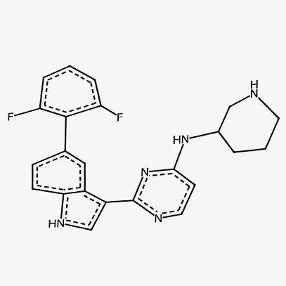 Fc1cccc(F)c1-c1ccc2[nH]cc(-c3nccc(NC4CCCNC4)n3)c2c1